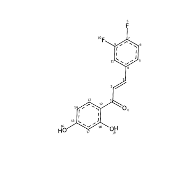 O=C(/C=C/c1ccc(F)c(F)c1)c1ccc(O)cc1O